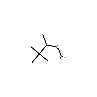 CC(OO)C(C)(C)C